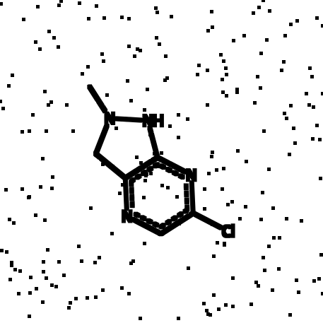 CN1Cc2ncc(Cl)nc2N1